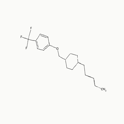 CCCCCC1CCC(COc2ccc(C(F)(F)F)cc2)CC1